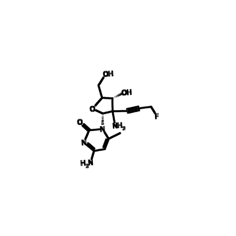 Cc1cc(N)nc(=O)n1[C@@H]1OC(CO)[C@H](O)C1(N)C#CCF